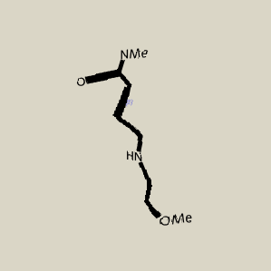 CNC(=O)/C=C/CNCCOC